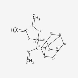 C=CC[N+](CC=C)(CC=C)C12CC3CC(CC(C3)C1)C2